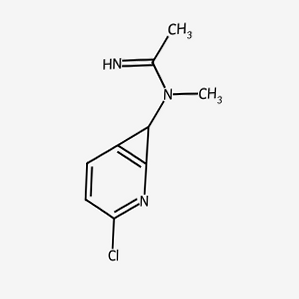 CC(=N)N(C)C1c2ccc(Cl)nc21